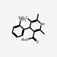 CCOC(=O)C1=C(C)NC(C)=C(C(=O)OCC(C)C)C1c1ccccc1[N+](=O)[O-]